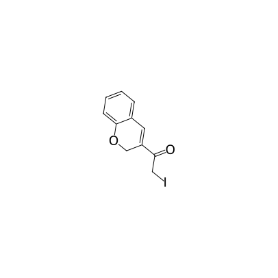 O=C(CI)C1=Cc2ccccc2OC1